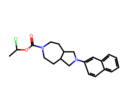 CC(Cl)OC(=O)N1CCC2CN(c3ccc4ccccc4c3)CC2CC1